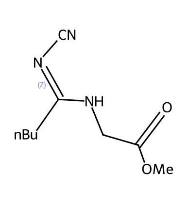 CCCC/C(=N/C#N)NCC(=O)OC